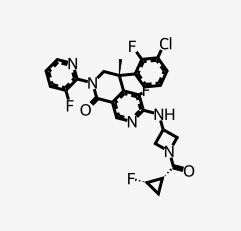 C[C@]1(c2cccc(Cl)c2F)CN(c2ncccc2F)C(=O)c2cnc(NC3CN(C(=O)[C@@H]4C[C@@H]4F)C3)c(F)c21